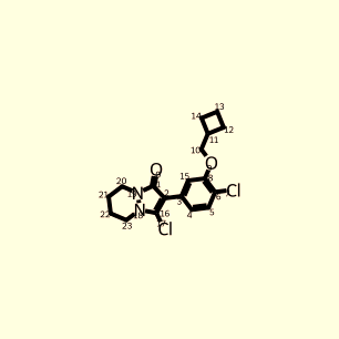 O=c1c(-c2ccc(Cl)c(OCC3CCC3)c2)c(Cl)n2n1CCCC2